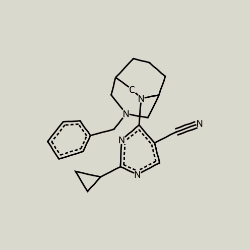 N#Cc1cnc(C2CC2)nc1N1CC2CCCC1CN(Cc1ccccc1)C2